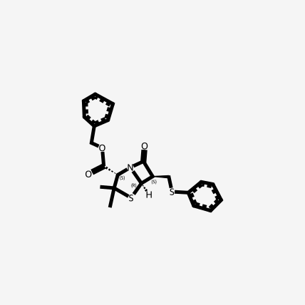 CC1(C)S[C@@H]2[C@H](CSc3ccccc3)C(=O)N2[C@H]1C(=O)OCc1ccccc1